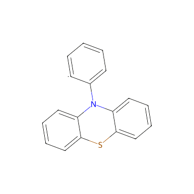 [c]1ccccc1N1c2ccccc2Sc2ccccc21